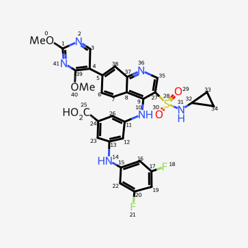 COc1ncc(-c2ccc3c(Nc4cc(Nc5cc(F)cc(F)c5)cc(C(=O)O)c4)c(S(=O)(=O)NC4CC4)cnc3c2)c(OC)n1